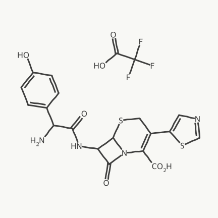 NC(C(=O)NC1C(=O)N2C(C(=O)O)=C(c3cncs3)CSC12)c1ccc(O)cc1.O=C(O)C(F)(F)F